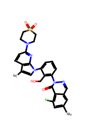 CC(C)(C)c1cc(F)c2c(=O)n(-c3cccc(-n4cc(C#N)c5ccc(N6CCS(=O)(=O)CC6)nc54)c3CO)ncc2c1